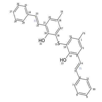 Cc1cc(/C=C/c2ccccc2)c(O)c(Sc2cc(C)cc(/C=C/c3ccccc3)c2O)c1